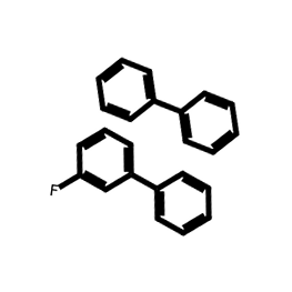 Fc1cccc(-c2ccccc2)c1.c1ccc(-c2ccccc2)cc1